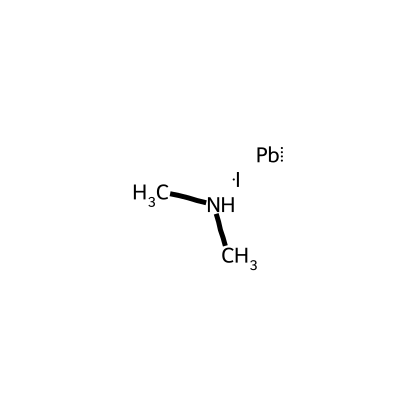 CNC.[I].[Pb]